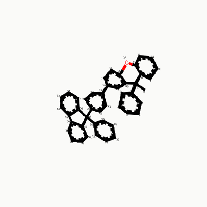 CC1(c2ccccc2)c2ccccc2Oc2ccc(-c3ccc(C4(c5ccccc5)c5ccccc5-c5ccccc54)cc3)cc21